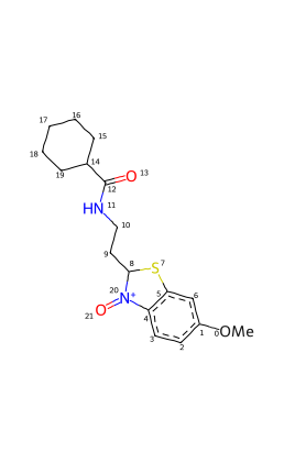 COc1ccc2c(c1)SC(CCNC(=O)C1CCCCC1)[N+]2=O